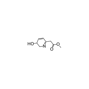 COC(=O)CC1=NCC(O)C=C1